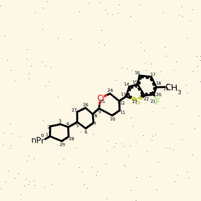 CCCC1CCC(C2CCC(C3CCC(c4cc5ccc(C)c(F)c5s4)CO3)CC2)CC1